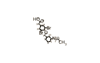 CCCNc1cccc(COc2c(Br)cc(CC(=O)O)cc2Br)c1